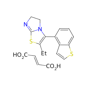 CCC1=C(c2cccc3sccc23)N2CCN=C2S1.O=C(O)C=CC(=O)O